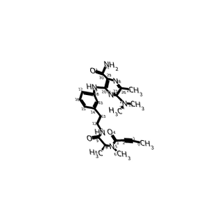 CC#CC(=O)N(C)[C@@H](C)C(=O)NCCc1cccc(Nc2nc(N(C)C)c(C)nc2C(N)=O)c1